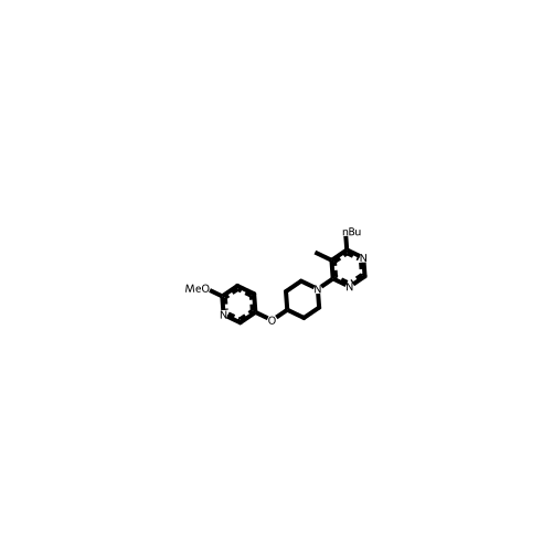 CCCCc1ncnc(N2CCC(Oc3ccc(OC)nc3)CC2)c1C